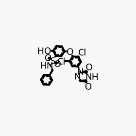 O=c1cnn(-c2cc(Cl)c(Oc3ccc(O)c(S(=O)(=O)NCc4ccccc4)c3)c(Cl)c2)c(=O)[nH]1